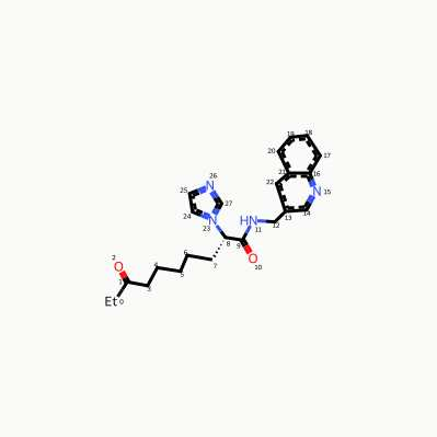 CCC(=O)CCCCC[C@@H](C(=O)NCc1cnc2ccccc2c1)n1ccnc1